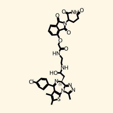 Cc1sc2c(c1C)C(c1ccc(Cl)cc1)=N[C@@H](CC(O)NCCNC(=O)COc1cccc3c1C(=O)N(C1CCC(=O)NC1=O)C3=O)c1nnc(C)n1-2